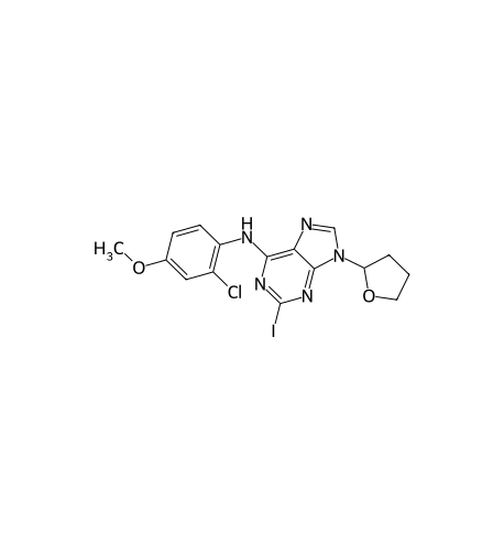 COc1ccc(Nc2nc(I)nc3c2ncn3C2CCCO2)c(Cl)c1